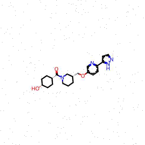 O=C([C@H]1CC[C@@H](O)CC1)N1CCC[C@@H](COc2ccc(-c3ccn[nH]3)nc2)C1